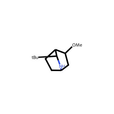 COC1CC2CCC1C(C(C)(C)C)N2